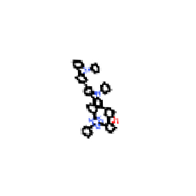 c1ccc(-c2nc(-c3ccccc3)nc(-c3cccc4oc5ccc(-c6ccc7c8ccc(-c9ccc%10c%11ccccc%11n(-c%11ccccc%11)c%10c9)cc8n(-c8ccccc8)c7c6)cc5c34)n2)cc1